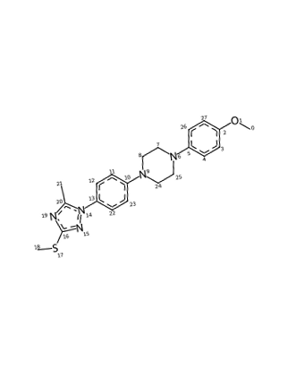 COc1ccc(N2CCN(c3ccc(-n4nc(SC)nc4C)cc3)CC2)cc1